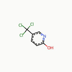 Oc1ccc(C(Cl)(Cl)Cl)cn1